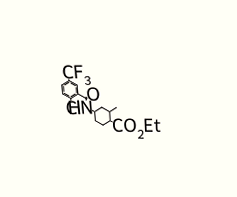 CCOC(=O)C1CCC(NC(=O)c2cc(C(F)(F)F)ccc2Cl)CC1C